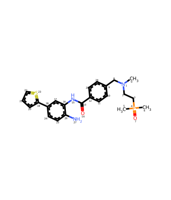 CN(CCP(C)(C)=O)Cc1ccc(C(=O)Nc2cc(-c3cccs3)ccc2N)cc1